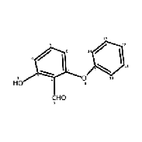 O=Cc1c(O)cccc1Oc1ccccc1